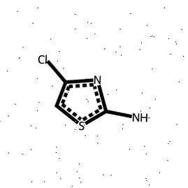 [NH]c1nc(Cl)cs1